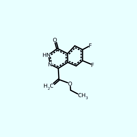 C=C(OCC)c1n[nH]c(=O)c2cc(F)c(F)cc12